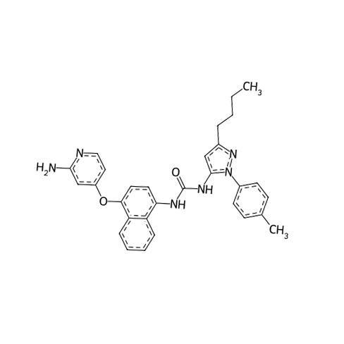 CCCCc1cc(NC(=O)Nc2ccc(Oc3ccnc(N)c3)c3ccccc23)n(-c2ccc(C)cc2)n1